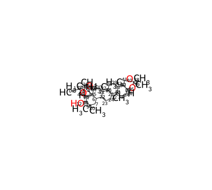 C#CCOC[C@@]12C3CC(C)(C)[C@@H](O)[C@@H]1OC(C)(C)O[C@@H]2CC1C3=CCC2[C@@]1(C)CCC1[C@]2(C)CC[C@@H]2OC(C)(C)OC[C@]12C